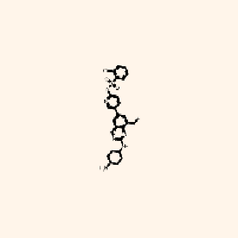 CCc1cc(-c2ccc(NS(=O)(=O)c3ccccc3Cl)nc2)cc2cnc(NC3CCC(N)CC3)nc12